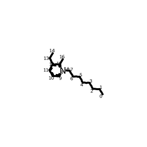 CCCCCCCC[n+]1cccc(CC)c1C